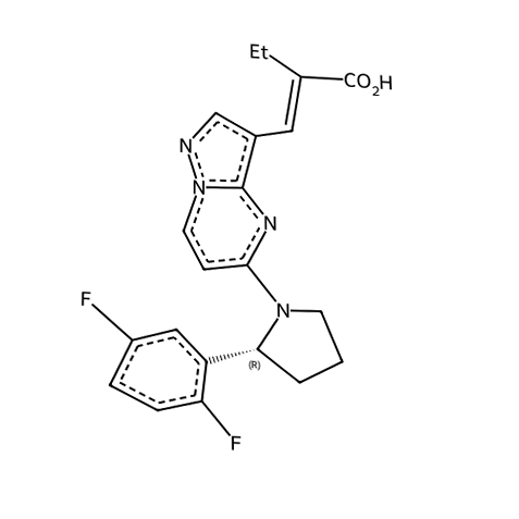 CCC(=Cc1cnn2ccc(N3CCC[C@@H]3c3cc(F)ccc3F)nc12)C(=O)O